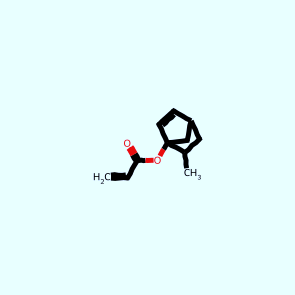 C=CC(=O)OC12C=CC(CC1C)C2